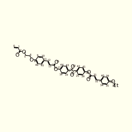 C=CC(=O)OCCOc1ccc(/C=C/C(=O)Oc2ccc(S(=O)(=O)c3ccc(OC(=O)/C=C/c4ccc(OCC)cc4)cc3)cc2)cc1